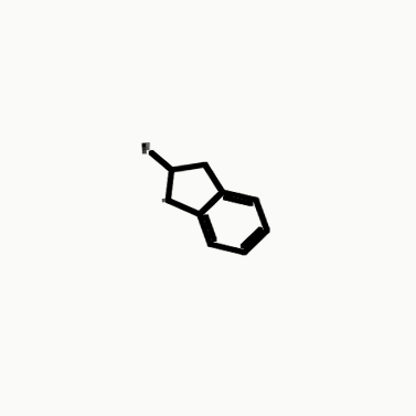 FC1[CH]c2ccccc2C1